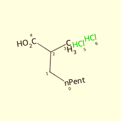 CCCCCCC(C)C(=O)O.Cl.Cl